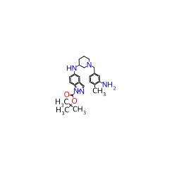 Cc1ccc(CN2CCCC(Nc3ccc4c(cnn4C(=O)OC(C)(C)C)c3)C2)cc1N